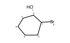 BrC1CCCCC1.Cl